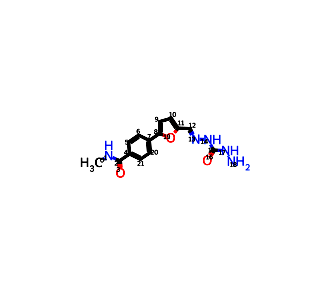 CNC(=O)c1ccc(-c2ccc(C=NNC(=O)NN)o2)cc1